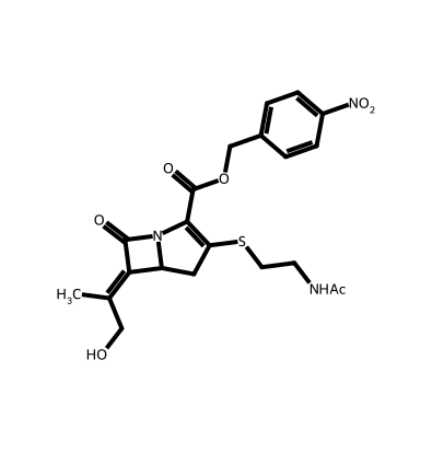 CC(=O)NCCSC1=C(C(=O)OCc2ccc([N+](=O)[O-])cc2)N2C(=O)C(=C(C)CO)C2C1